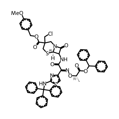 COc1ccc(COC(=O)C2(CCl)CS[C@@H]3C(NC(=O)C(=NO[C@@H](C)C(=O)OC(c4ccccc4)c4ccccc4)c4csc(NC(c5ccccc5)(c5ccccc5)c5ccccc5)n4)C(=O)N3C2)cc1